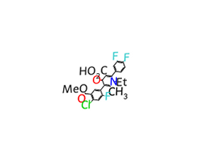 CCn1c(C)c(-c2cc(C(=O)OC)c(Cl)cc2F)c(=O)c(C(=O)O)c1-c1ccc(F)c(F)c1